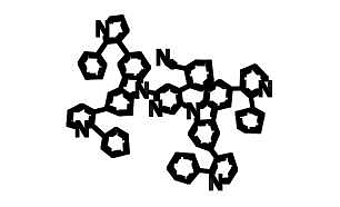 N#Cc1ccccc1-c1cc(-n2c3ccc(-c4cccnc4-c4ccccc4)cc3c3cc(-c4cccnc4-c4ccccc4)ccc32)ncc1-n1c2ccc(-c3cccnc3-c3ccccc3)cc2c2cc(-c3cccnc3-c3ccccc3)ccc21